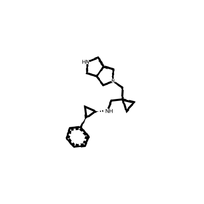 c1ccc([C@H]2C[C@@H]2NCC2(CN3CC4CNCC4C3)CC2)cc1